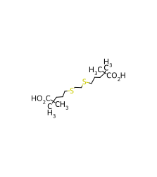 CC(C)(CCCSCCSCCCC(C)(C)C(=O)O)C(=O)O